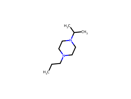 CCCN1CCN(C(C)C)CC1